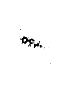 CC(C(N)=O)N1CCC(c2ccccc2)C1=O